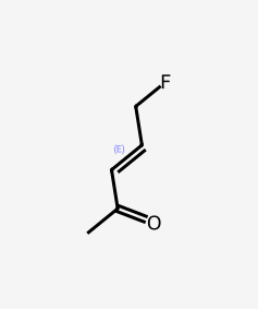 CC(=O)/C=C/CF